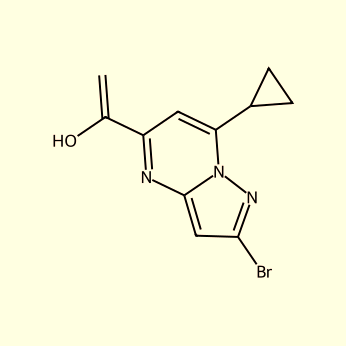 C=C(O)c1cc(C2CC2)n2nc(Br)cc2n1